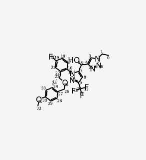 CCn1cc(C(O)c2cc(C(F)(F)F)nn2-c2ccc(F)cc2[C@@H](C)OCc2ccc(OC)cc2)nn1